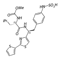 COC(=O)N[C@@H](CC(C)C)C(=O)N[C@@H](Cc1ccc(NS(=O)(=O)O)cc1)c1csc(-c2cccs2)n1